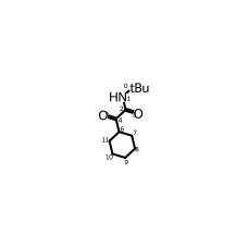 CC(C)(C)NC(=O)C(=O)C1CCCCC1